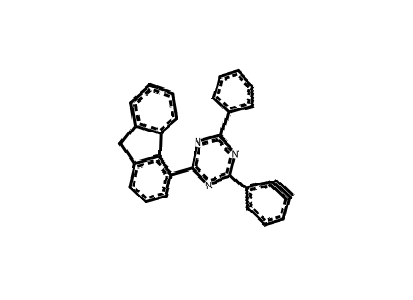 c1cccc(-c2nc(-c3ccccc3)nc(-c3cccc4c3-c3ccccc3C4)n2)c#1